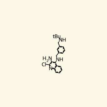 CC(C)(C)NCc1cccc(CNc2c(N)c(Cl)nc3ccccc23)c1